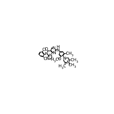 COc1cc(Nc2ncc3c(n2)N2CCN=C2N(c2c(Cl)cccc2Cl)C3=O)cc(C)c1N1C[C@@H](C)N(C)[C@@H](C)C1